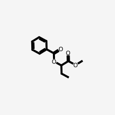 CCC(OC(=O)c1ccccc1)C(=O)OC